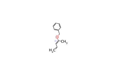 C=C/C=C(\C)OCc1ccccc1